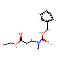 CCOC(=O)CCN(C)C(=O)OCc1ccccc1